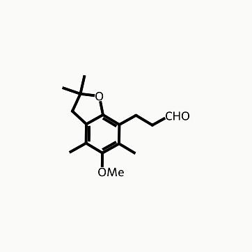 COc1c(C)c(CCC=O)c2c(c1C)CC(C)(C)O2